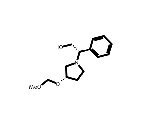 COCO[C@H]1CCN([C@H](CO)c2ccccc2)C1